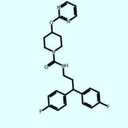 O=C(NCCC(c1ccc(F)cc1)c1ccc(F)cc1)N1CCC(Oc2ncccn2)CC1